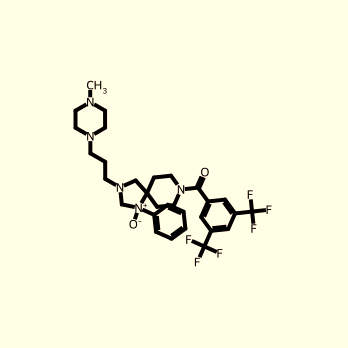 CN1CCN(CCCN2CC3(CCN(C(=O)c4cc(C(F)(F)F)cc(C(F)(F)F)c4)CC3)[N+]([O-])(c3ccccc3)C2)CC1